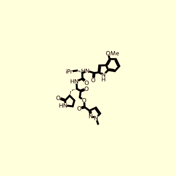 COc1cccc2[nH]c(C(=O)N[C@@H](CC(C)C)C(=O)N[C@@H](C[C@@H]3CCNC3=O)C(=O)COC(=O)c3ccn(C)n3)cc12